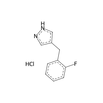 Cl.Fc1ccccc1Cc1cn[nH]c1